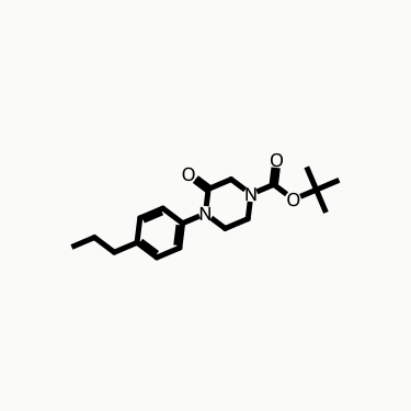 CCCc1ccc(N2CCN(C(=O)OC(C)(C)C)CC2=O)cc1